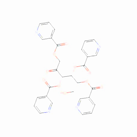 O=C(OCC(=O)[C@@H](OC(=O)c1cccnc1)[C@H](OC(=O)c1cccnc1)[C@@H](CO)OC(=O)c1cccnc1)c1cccnc1